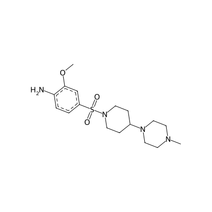 COc1cc(S(=O)(=O)N2CCC(N3CCN(C)CC3)CC2)ccc1N